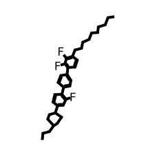 CCCCCCCCCCc1ccc(-c2ccc(-c3ccc(C4CCC(CCC)CC4)cc3F)cc2)c(F)c1F